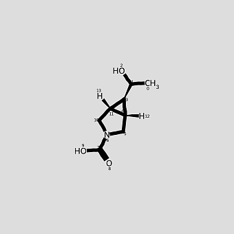 CC(O)[C@H]1[C@@H]2CN(C(=O)O)C[C@@H]21